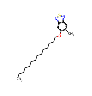 CCCCCCCCCCCCCCOc1cc2nsnc2cc1C